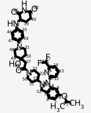 CC(C)Oc1ccc2c(c1)N(c1cccc(C(F)F)n1)N(C1CCN(C(=O)CC3(O)CCN(c4ccc(NC5CCC(=O)NC5=O)cc4)CC3)CC1)C2